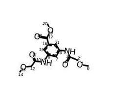 COCC(=O)Nc1cc(NC(=O)COC)cc(C(=O)OC)c1